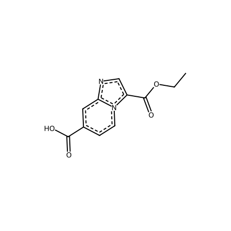 CCOC(=O)c1cnc2cc(C(=O)O)ccn12